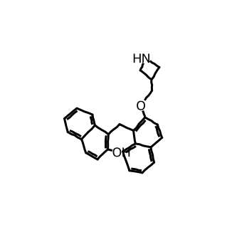 Oc1ccc2ccccc2c1Cc1c(OCC2CNC2)ccc2ccccc12